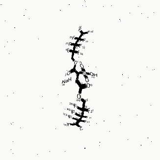 O=C(CC(C(=O)OCC(F)(F)C(F)(F)C(F)(F)C(F)F)S(=O)(=O)O)OCC(F)(F)C(F)(F)C(F)(F)C(F)F.[NaH]